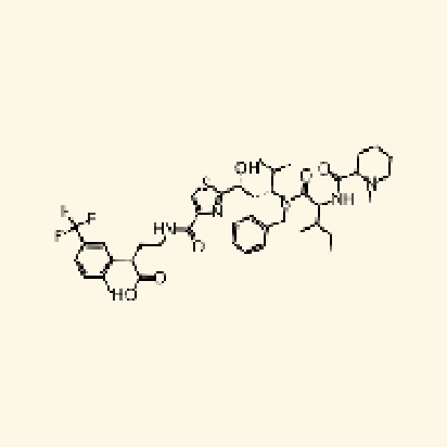 CCC(C)C(NC(=O)C1CCCCN1C)C(=O)N(Cc1ccccc1)[C@H](C[C@@H](O)c1nc(C(=O)NCC[C@@H](C(=O)O)c2cc(C(F)(F)F)ccc2C)cs1)C(C)C